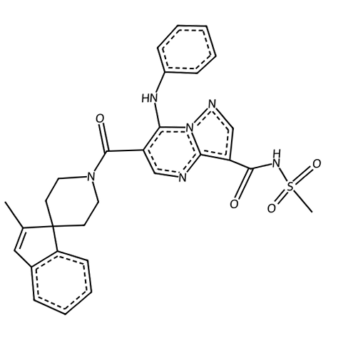 CC1=Cc2ccccc2C12CCN(C(=O)c1cnc3c(C(=O)NS(C)(=O)=O)cnn3c1Nc1ccccc1)CC2